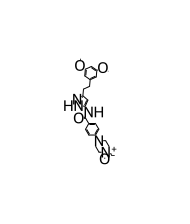 COc1cc(CCc2cc(NC(=O)c3ccc(N4CC[N+](C)([O-])CC4)cc3)[nH]n2)cc(OC)c1